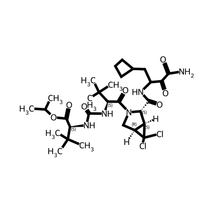 CC(C)OC(=O)[C@@H](NC(=O)N[C@H](C(=O)N1C[C@H]2[C@@H]([C@H]1C(=O)NC(CC1CCC1)C(=O)C(N)=O)C2(Cl)Cl)C(C)(C)C)C(C)(C)C